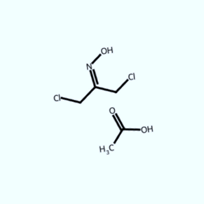 CC(=O)O.ON=C(CCl)CCl